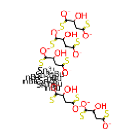 CCC[CH2][Sn+2][CH2]CCC.CCC[CH2][Sn+2][CH2]CCC.CCC[CH2][Sn+3].CCC[CH2][Sn+3].[O-]C(=S)CC(O)C([O-])=S.[O-]C(=S)CC(O)C([O-])=S.[O-]C(=S)CC(O)C([O-])=S.[O-]C(=S)CC(O)C([O-])=S.[O-]C(=S)CC(O)C([O-])=S